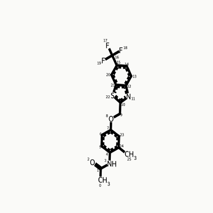 CC(=O)Nc1ccc(OCc2nc3ccc(C(F)(F)F)cc3s2)cc1C